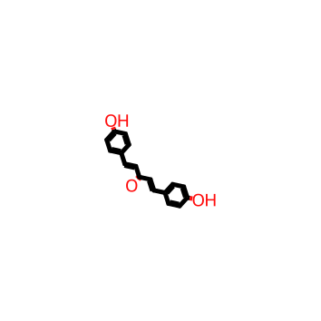 O=C(C=Cc1ccc(O)cc1)C=Cc1ccc(O)cc1